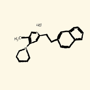 Cc1cnc(CCc2ccc3ccccc3c2)cc1N1CCCCC1.Cl